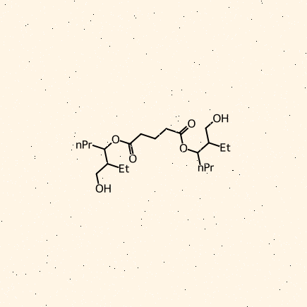 CCCC(OC(=O)CCCC(=O)OC(CCC)C(CC)CO)C(CC)CO